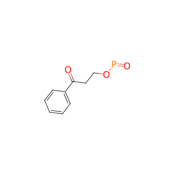 O=POCCC(=O)c1ccccc1